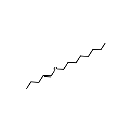 CCCC=C[P]CCCCCCCC